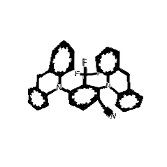 N#Cc1ccc(N2c3ccccc3Cc3ccccc32)c(C(F)(F)F)c1N1c2ccccc2Cc2ccccc21